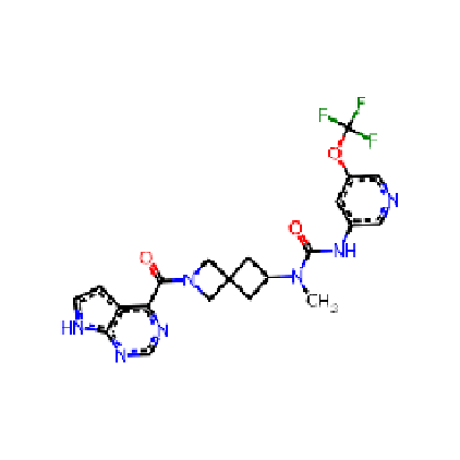 CN(C(=O)Nc1cncc(OC(F)(F)F)c1)C1CC2(C1)CN(C(=O)c1ncnc3[nH]ccc13)C2